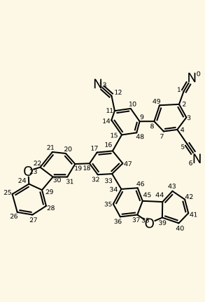 N#Cc1cc(C#N)cc(-c2cc(C#N)cc(-c3cc(-c4ccc5oc6ccccc6c5c4)cc(-c4ccc5oc6ccccc6c5c4)c3)c2)c1